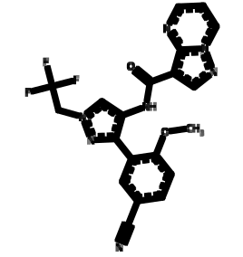 COc1ccc(C#N)cc1-c1nn(CC(F)(F)F)cc1NC(=O)c1cnn2cccnc12